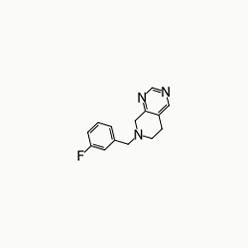 Fc1cccc(CN2CCc3cncnc3C2)c1